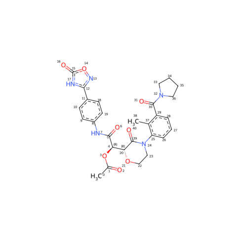 CC(=O)O[C@@H](C(=O)Nc1ccc(-c2noc(=O)[nH]2)cc1)[C@H]1OCCN(c2cccc(C(=O)N3CCCC3)c2C)C1=O